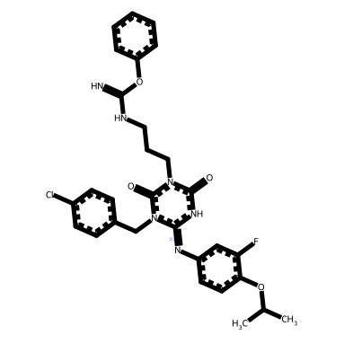 CC(C)Oc1ccc(/N=c2\[nH]c(=O)n(CCCNC(=N)Oc3ccccc3)c(=O)n2Cc2ccc(Cl)cc2)cc1F